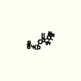 Cc1c(-c2[nH]c3ccc(C4CN(CCS(C)(=O)=O)CCO4)cc3c2C(C)C)cn2ncnc2c1C